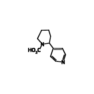 O=C(O)N1CCCCC1c1ccncc1